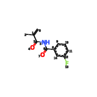 C=C(C)C(=O)NC(=O)c1cccc(F)c1